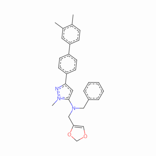 Cc1ccc(-c2ccc(-c3cc(N(CC4=COCO4)Cc4ccccc4)n(C)n3)cc2)cc1C